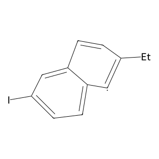 CCc1[c]c2ccc(I)cc2cc1